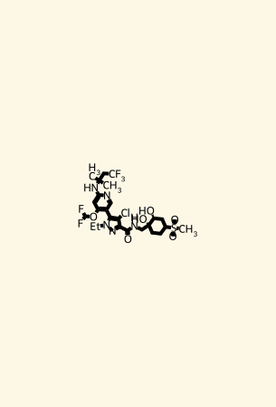 CCn1nc(C(=O)NC[C@@]2(O)CCC(S(C)(=O)=O)C[C@@H]2O)c(Cl)c1-c1cnc(NC(C)(C)CC(F)(F)F)cc1OC(F)F